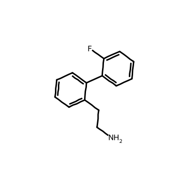 NCCc1ccccc1-c1ccccc1F